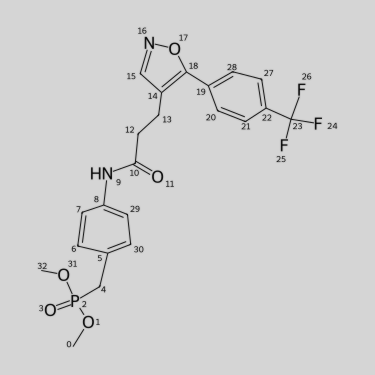 COP(=O)(Cc1ccc(NC(=O)CCc2cnoc2-c2ccc(C(F)(F)F)cc2)cc1)OC